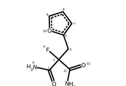 NC(=O)C(F)(Cc1ccco1)C(N)=O